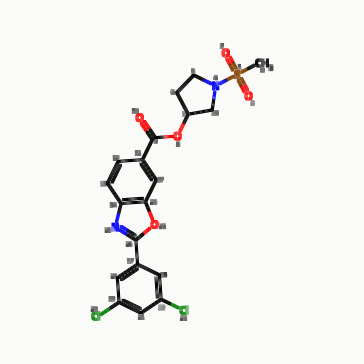 CS(=O)(=O)N1CCC(OC(=O)c2ccc3nc(-c4cc(Cl)cc(Cl)c4)oc3c2)C1